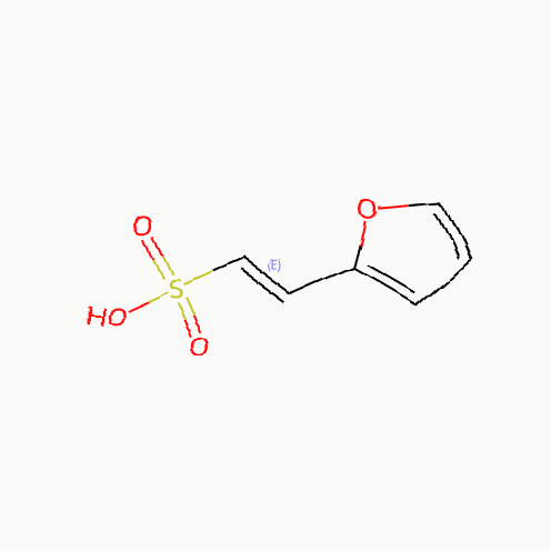 O=S(=O)(O)/C=C/c1ccco1